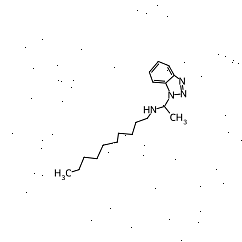 CCCCCCCCCCNC(C)n1nnc2ccccc21